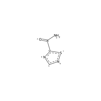 NC(=O)c1ncns1